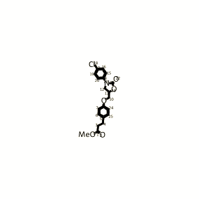 COC(=O)CCc1ccc(OCC2CN(c3ccc(Cl)cc3)C(=O)O2)cc1